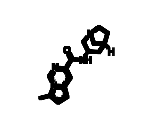 Cc1ccc2cc(C(=O)N[C@@H]3C[C@H]4CCN(C4)C3)ncn12